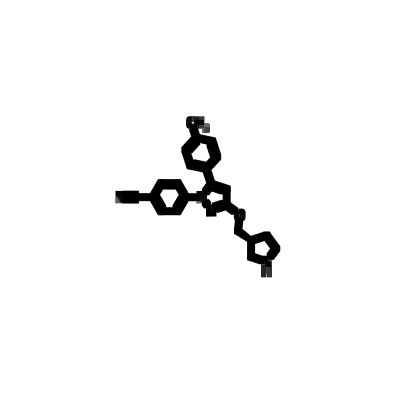 Cc1ccc(-c2cc(OC[C@H]3CCNC3)nn2-c2ccc(C#N)cc2)cc1